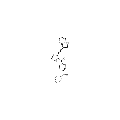 O=C(c1ccc(C(=O)N2CCOCC2)cc1)c1nccn1C#Cc1cnc2cccnn12